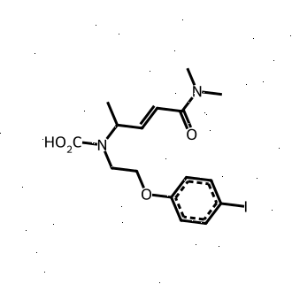 CC(/C=C/C(=O)N(C)C)N(CCOc1ccc(I)cc1)C(=O)O